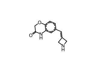 O=C1COc2ccc(C=C3CNC3)cc2N1